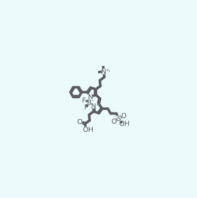 C[N+](C)(C)CCCc1cc(-c2ccccc2)n2c1C=C1C(CCCS(=O)(=O)O)=CC(CCC(=O)O)=[N+]1[B-]2(F)F